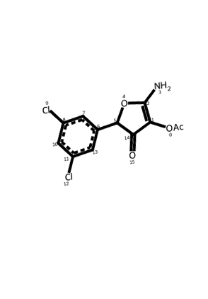 CC(=O)OC1=C(N)OC(c2cc(Cl)cc(Cl)c2)C1=O